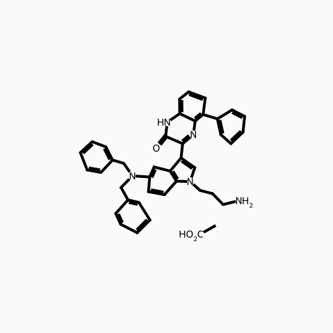 CC(=O)O.NCCCn1cc(-c2nc3c(-c4ccccc4)cccc3[nH]c2=O)c2cc(N(Cc3ccccc3)Cc3ccccc3)ccc21